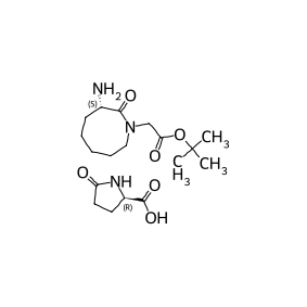 CC(C)(C)OC(=O)CN1CCCCC[C@H](N)C1=O.O=C1CC[C@H](C(=O)O)N1